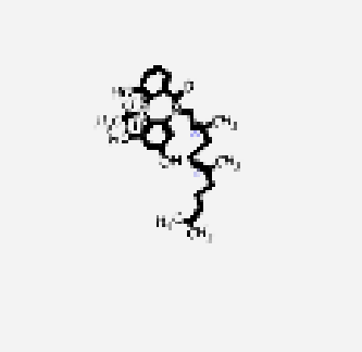 CC(C)=CCC/C(C)=C/CC/C(C)=C/CN1C(=O)c2cccc(O)c2N(C(C)(C)C)c2c(O)cc(O)cc21